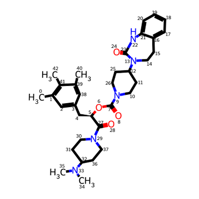 Cc1cc(C[C@@H](OC(=O)N2CCC(N3CCc4ccccc4NC3=O)CC2)C(=O)N2CCC(N(C)C)CC2)cc(C)c1C